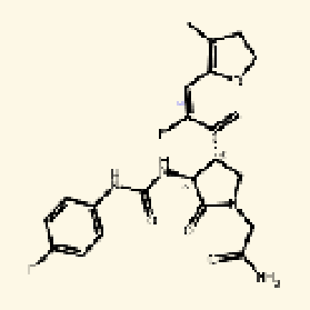 C=C(/C(F)=C\C1=C(C)CCO1)[C@@H]1CN(CC(N)=O)C(=O)[C@H]1NC(=O)Nc1ccc(F)cc1